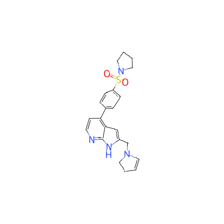 O=S(=O)(c1ccc(-c2ccnc3[nH]c(CN4C=CCC4)cc23)cc1)N1CCCC1